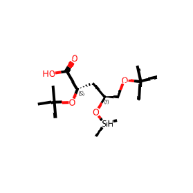 C[SiH](C)O[C@H](COC(C)(C)C)C[C@H](OC(C)(C)C)C(=O)O